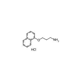 Cl.NCCCOc1cccc2ccccc12